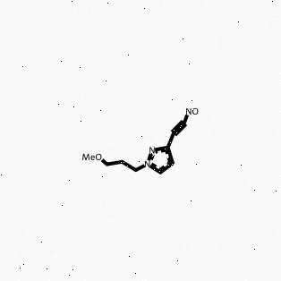 COCCCn1ccc(C#CN=O)n1